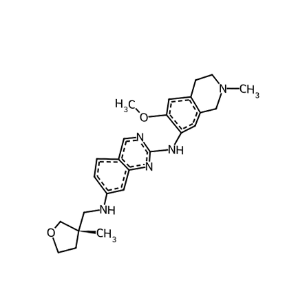 COc1cc2c(cc1Nc1ncc3ccc(NC[C@]4(C)CCOC4)cc3n1)CN(C)CC2